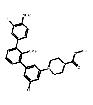 COc1c(-c2cc(Cl)cc(N3CCN(C(=O)OC(C)(C)C)CC3)c2)cccc1-c1ccc(NC(C)=O)c(F)c1